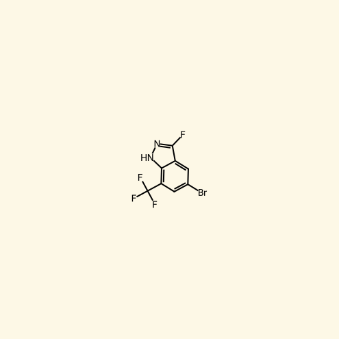 Fc1n[nH]c2c(C(F)(F)F)cc(Br)cc12